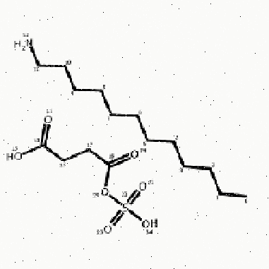 CCCCCCCCCCCCN.O=C(O)CCC(=O)OS(=O)(=O)O